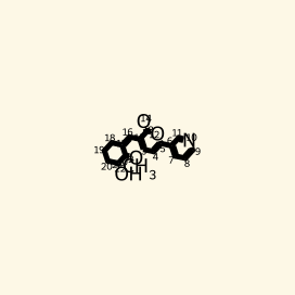 CC12Oc3cc(-c4cccnc4)oc(=O)c3C=C1CCCC2O